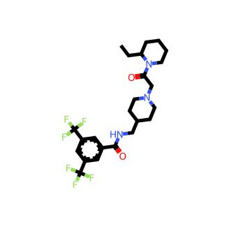 CCC1CCCCN1C(=O)CN1CCC(CNC(=O)c2cc(C(F)(F)F)cc(C(F)(F)F)c2)CC1